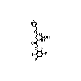 O=C(O)NC(CCOCc1ccsc1)C(=O)COc1c(F)c(F)cc(F)c1F